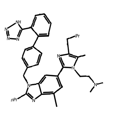 CCCc1nc2c(C)cc(-c3nc(CC(C)C)c(C)n3CCN(C)C)cc2n1Cc1ccc(-c2ccccc2-c2nnn[nH]2)cc1